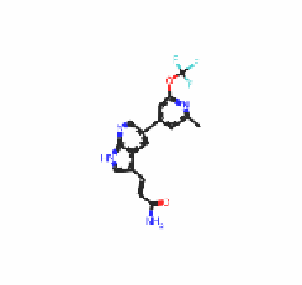 Cc1cc(-c2cnc3[nH]cc(/C=C/C(N)=O)c3c2)cc(OC(F)(F)F)n1